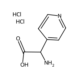 Cl.Cl.NC(C(=O)O)c1ccncc1